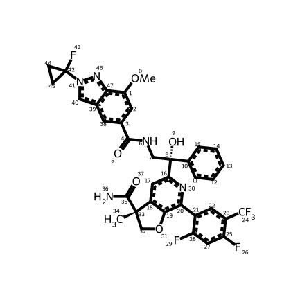 COc1cc(C(=O)NC[C@@](O)(c2ccccc2)c2cc3c(c(-c4cc(C(F)(F)F)c(F)cc4F)n2)OC[C@]3(C)C(N)=O)cc2cn(C3(F)CC3)nc12